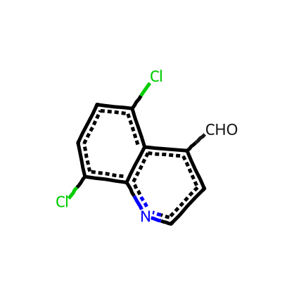 O=Cc1ccnc2c(Cl)ccc(Cl)c12